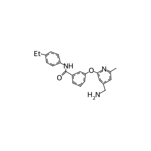 CCc1ccc(NC(=O)c2cccc(Oc3cc(CN)cc(C)n3)c2)cc1